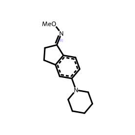 CO/N=C1\CCc2cc(N3CCCCC3)ccc21